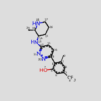 Cc1cc(C(F)(F)F)cc(O)c1-c1ccc(N[C@@H]2CCCN[C@@H]2C)nn1